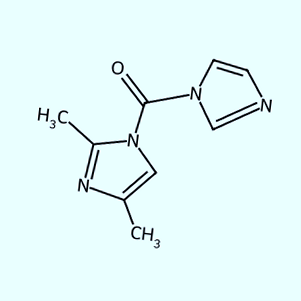 Cc1cn(C(=O)n2ccnc2)c(C)n1